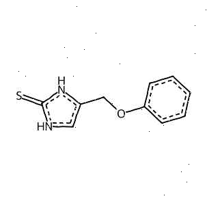 S=c1[nH]cc(COc2ccccc2)[nH]1